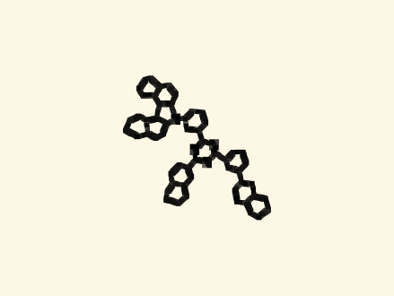 c1cc(-c2ccc3ccccc3c2)cc(-c2nc(-c3cccc(-n4c5ccc6ccccc6c5c5c6ccccc6ccc54)c3)nc(-c3ccc4ccccc4c3)n2)c1